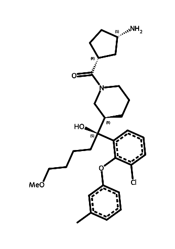 COCCCC[C@@](O)(c1cccc(Cl)c1Oc1cccc(C)c1)[C@@H]1CCCN(C(=O)[C@@H]2CC[C@H](N)C2)C1